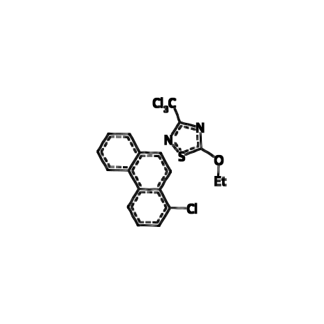 CCOc1nc(C(Cl)(Cl)Cl)ns1.Clc1cccc2c1ccc1ccccc12